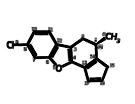 C[C@@H]1Cc2c(oc3cc(Cl)ccc23)C2=C1CC=C2